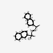 CC(/N=N/C(C)(Cl)c1ccc2ccccc2c1)c1ccc2ccccc2c1